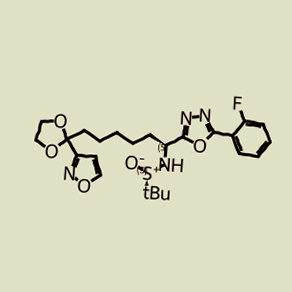 CC(C)(C)[S@@+]([O-])N[C@@H](CCCCCC1(c2ccon2)OCCO1)c1nnc(-c2ccccc2F)o1